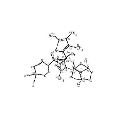 Cc1sc([C@H](CCN2[C@@H]3CC[C@H]2C[C@H](n2c(C)nnc2C(C)C)C3)NC(=O)C2CCC(F)(F)CC2)c(C)c1C